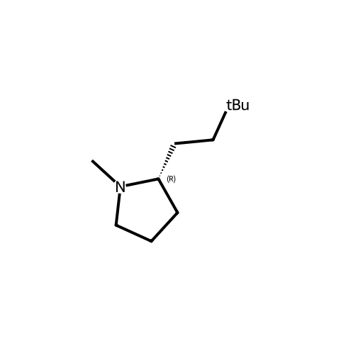 CN1CCC[C@H]1CCC(C)(C)C